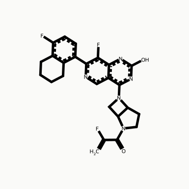 C=C(F)C(=O)N1CCC2C1CN2c1nc(O)nc2c(F)c(-c3ccc(F)c4c3CCCC4)ncc12